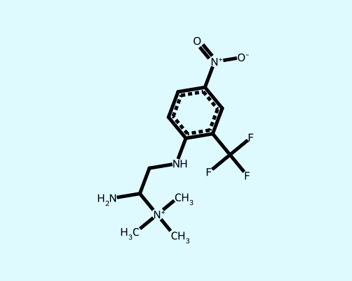 C[N+](C)(C)C(N)CNc1ccc([N+](=O)[O-])cc1C(F)(F)F